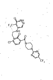 C[C@@H](Cn1c(Cl)ccc(C(=O)N2CCN(c3ncc(C(F)(F)F)cn3)CC2)c1=O)Nc1cn[nH]c(=O)c1C(F)(F)F